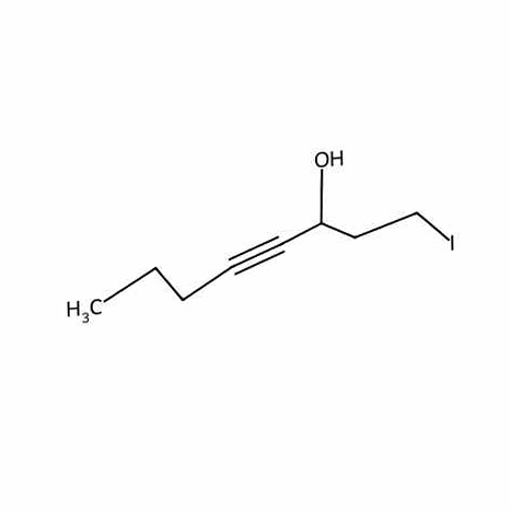 CCCC#CC(O)CCI